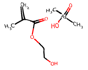 C=C(C)C(=O)OCCO.C[As](C)(=O)O